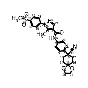 Cc1c(C(=O)Nc2ccc(C3(C#N)CCC4(CC3)OCCO4)nc2)cnn1-c1ccc(S(C)(=O)=O)cc1